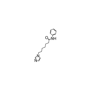 O=C(CCCCCCn1ccnc1)Nc1ccccc1